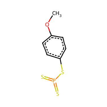 COc1ccc(SP(=S)=S)cc1